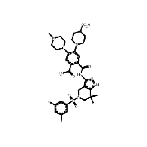 CN1CCN(c2cc(C(N)=O)c(C(=O)Nc3n[nH]c4c3CN(S(=O)(=O)c3cc(F)cc(F)c3)CC4(C)C)cc2N2CCC(C(=O)O)CC2)CC1